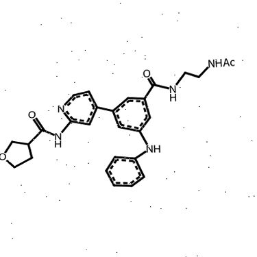 CC(=O)NCCNC(=O)c1cc(Nc2ccccc2)cc(-c2ccnc(NC(=O)C3CCOC3)c2)c1